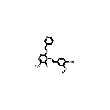 CCOc1cc(/C=N/n2c(SCc3cccnc3)nnc(C)c2=O)ccc1OC